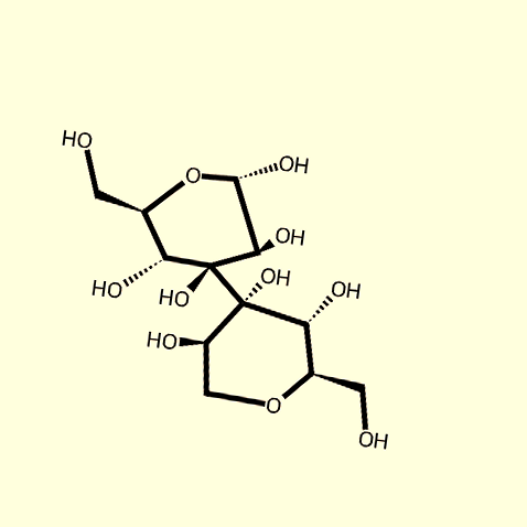 OC[C@H]1O[C@H](O)[C@@H](O)[C@](O)([C@]2(O)[C@H](O)CO[C@H](CO)[C@H]2O)[C@@H]1O